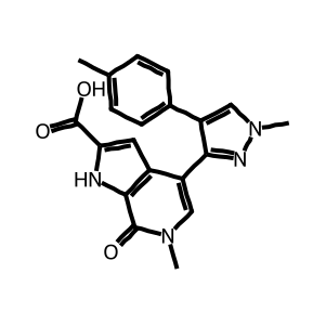 Cc1ccc(-c2cn(C)nc2-c2cn(C)c(=O)c3[nH]c(C(=O)O)cc23)cc1